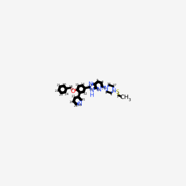 CCSN1CCN(c2ccc3nc(-c4ccc(OCc5ccccc5)c(-c5cccnc5)c4)[nH]c3n2)CC1